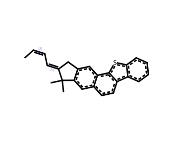 C/C=C\C=C1/Cc2cc3c(ccc4c5ccccc5sc34)cc2C1(C)C